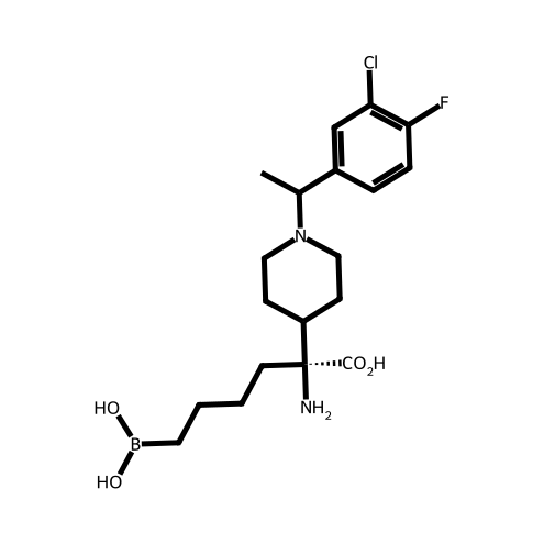 CC(c1ccc(F)c(Cl)c1)N1CCC([C@@](N)(CCCCB(O)O)C(=O)O)CC1